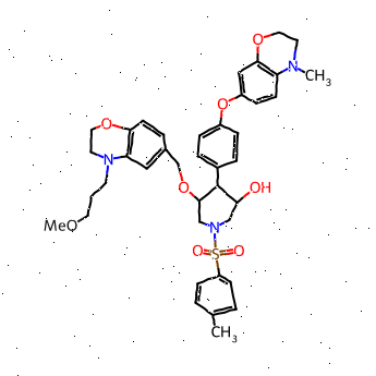 COCCCN1CCOc2ccc(COC3CN(S(=O)(=O)c4ccc(C)cc4)CC(O)C3c3ccc(Oc4ccc5c(c4)OCCN5C)cc3)cc21